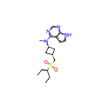 CCC(CC)S(=O)(=O)C[C@H]1C[C@@H](N(C)c2ncnc3[nH]ccc23)C1